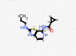 CCCNc1nc2ccnc(NC(=O)C3CC3)c2s1